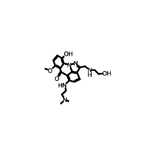 COc1ccc(O)c2c1c(=O)c1c(NCCN(C)C)ccc3c(CNCCO)nn2c31